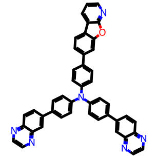 c1cnc2oc3cc(-c4ccc(N(c5ccc(-c6ccc7nccnc7c6)cc5)c5ccc(-c6ccc7nccnc7c6)cc5)cc4)ccc3c2c1